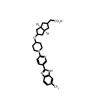 O=C(O)CC1C[C@@H]2CC(OC3CCN(c4ccc(-c5nc6ccc(C(F)(F)F)cc6[nH]5)cn4)CC3)C[C@@H]2C1